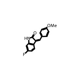 COc1ccc(C=C2C(=O)Nc3cc(F)ccc32)cc1